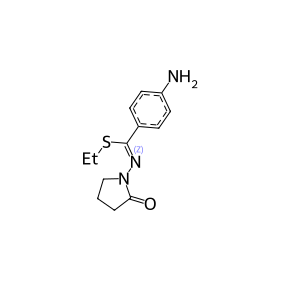 CCS/C(=N\N1CCCC1=O)c1ccc(N)cc1